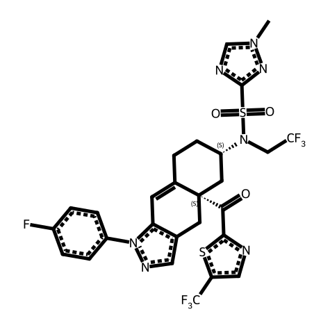 Cn1cnc(S(=O)(=O)N(CC(F)(F)F)[C@H]2CCC3=Cc4c(cnn4-c4ccc(F)cc4)C[C@]3(C(=O)c3ncc(C(F)(F)F)s3)C2)n1